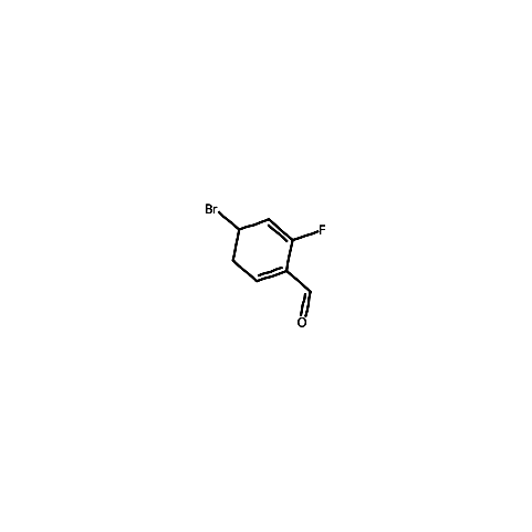 O=CC1=CCC(Br)C=C1F